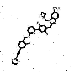 O=C(O)c1ccc2nc(Cc3cc(F)c(-c4cccc(OCc5ccc(C#Cc6nccs6)cc5F)n4)cc3F)n(C[C@@H]3CCO3)c2c1